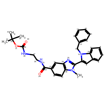 Cn1c(-c2cc3ccccc3n2Cc2ccccc2)nc2cc(C(=O)NCCNC(=O)OC(C)(C)C)ccc21